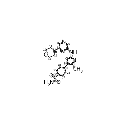 Cc1nc(Nc2cncc(N3CCOCC3)n2)sc1-c1ccc(S(N)(=O)=O)cc1